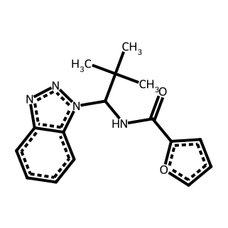 CC(C)(C)C(NC(=O)c1ccco1)n1nnc2ccccc21